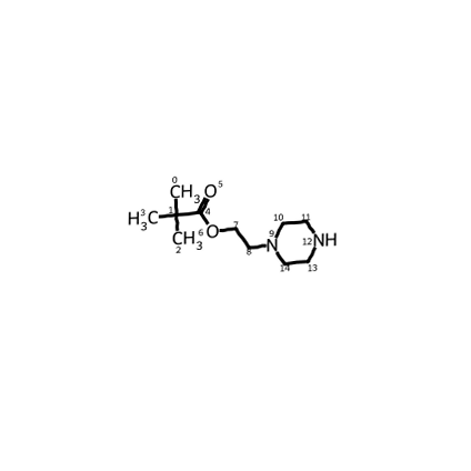 CC(C)(C)C(=O)OCCN1CCNCC1